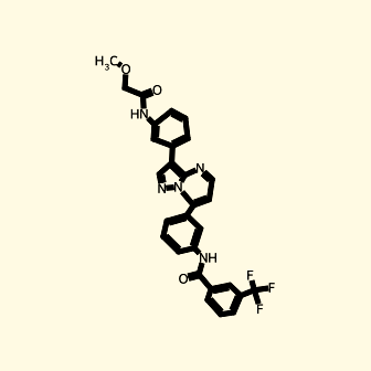 COCC(=O)Nc1cccc(-c2cnn3c(-c4cccc(NC(=O)c5cccc(C(F)(F)F)c5)c4)ccnc23)c1